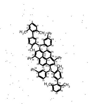 Cc1ccc(-c2c(C)cccc2C)cc1N(c1cccc(C(C)C)c1)c1cc(C(C)C)c2ccc3c(N(c4cccc(C(C)C)c4)c4cc(-c5c(C)cccc5C)ccc4C)cc(C(C)C)c4ccc1c2c43